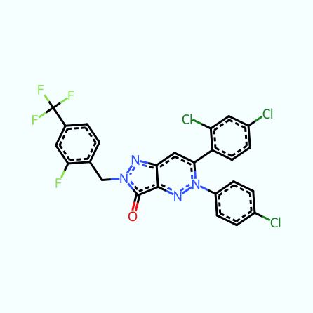 O=c1c2nn(-c3ccc(Cl)cc3)c(-c3ccc(Cl)cc3Cl)cc-2nn1Cc1ccc(C(F)(F)F)cc1F